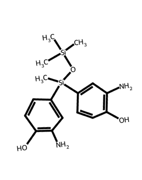 C[Si](C)(C)O[Si](C)(c1ccc(O)c(N)c1)c1ccc(O)c(N)c1